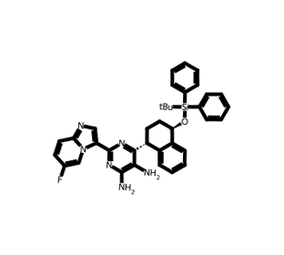 CC(C)(C)[Si](O[C@@H]1CC[C@@H](c2nc(-c3cnc4ccc(F)cn34)nc(N)c2N)c2ccccc21)(c1ccccc1)c1ccccc1